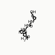 NC(=O)c1ccc2c(c1)nc(NCCCNC(=O)CCNCc1cccc(OCCO)c1)c1ccncc12